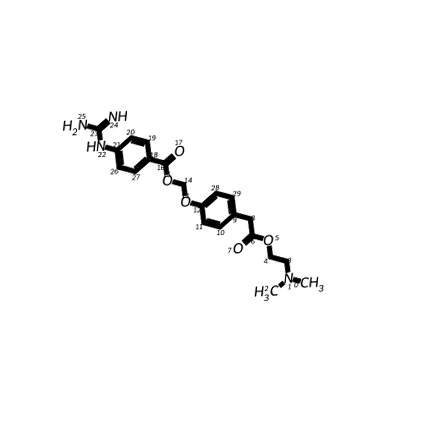 CN(C)CCOC(=O)Cc1ccc(OCOC(=O)c2ccc(NC(=N)N)cc2)cc1